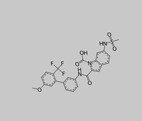 COc1ccc(C(F)(F)F)c(-c2cccc(NC(=O)c3cc4ccc(NS(C)(=O)=O)cc4n3C(=O)O)c2)c1